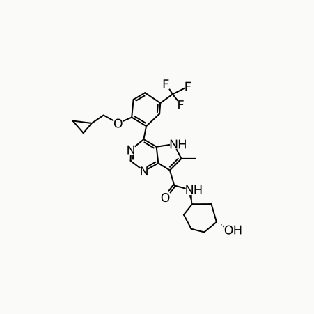 Cc1[nH]c2c(-c3cc(C(F)(F)F)ccc3OCC3CC3)ncnc2c1C(=O)N[C@@H]1CCC[C@@H](O)C1